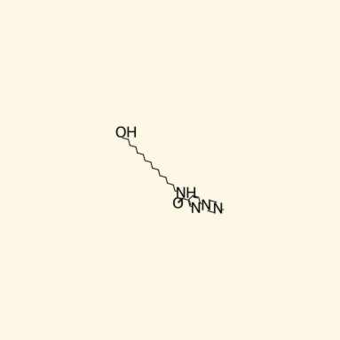 CN1CCN(c2ccc(C(=O)NCCCCCCCCCCCCCCCO)cn2)CC1